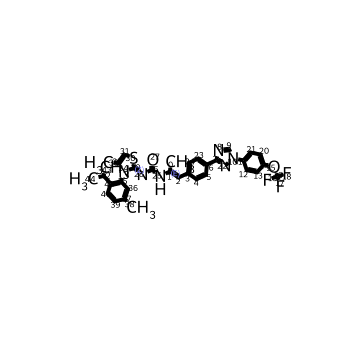 C/C(=C\c1ccc(-c2ncn(-c3ccc(OC(F)(F)F)cc3)n2)cc1)NC(=O)/N=c1\scc(C)n1-c1cc(C)ccc1C(C)C